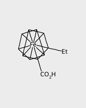 CC[C]12[CH]3[CH]4[CH]5[C]1(C(=O)O)[Fe]43521678[CH]2[CH]1[CH]6[CH]7[CH]28